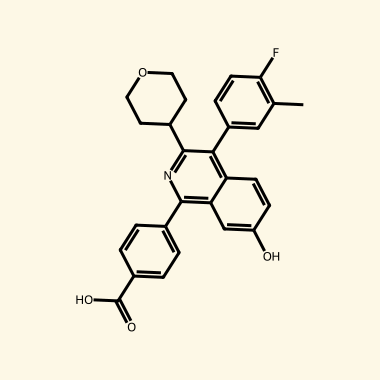 Cc1cc(-c2c(C3CCOCC3)nc(-c3ccc(C(=O)O)cc3)c3cc(O)ccc23)ccc1F